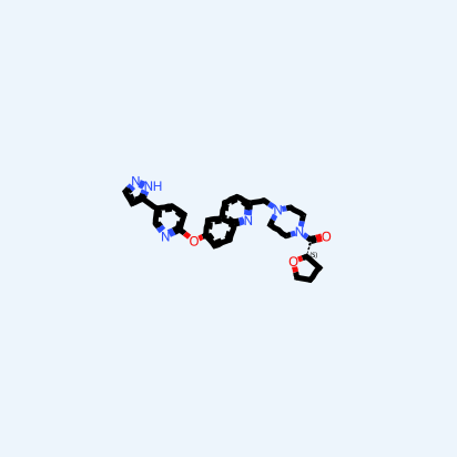 O=C([C@@H]1CCCO1)N1CCN(Cc2ccc3cc(Oc4ccc(-c5ccn[nH]5)cn4)ccc3n2)CC1